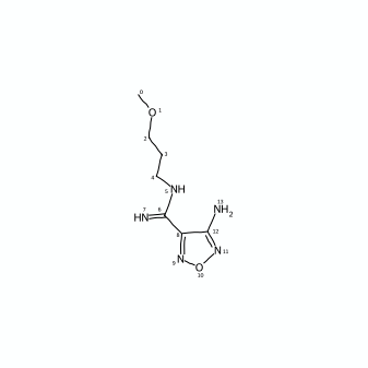 COCCCNC(=N)c1nonc1N